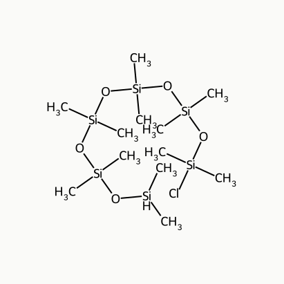 C[SiH](C)O[Si](C)(C)O[Si](C)(C)O[Si](C)(C)O[Si](C)(C)O[Si](C)(C)Cl